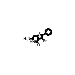 Nc1cc2sc(-c3ccccc3)c(Br)c2c(=O)[nH]1